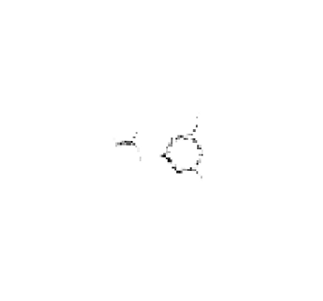 O=C(F)Oc1cc(Cl)cc(Cl)c1